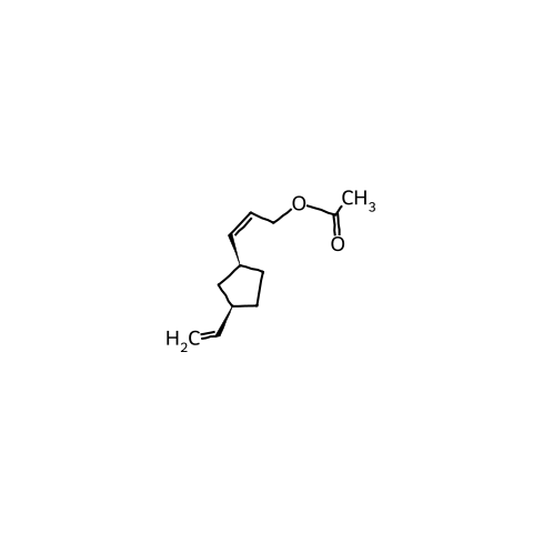 C=C[C@@H]1CC[C@H](/C=C\COC(C)=O)C1